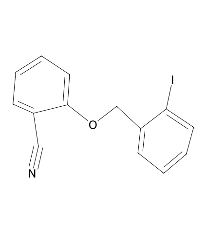 N#Cc1ccccc1OCc1ccccc1I